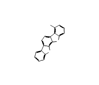 Clc1cccc2oc3c(ccc4c5ccccc5oc43)c12